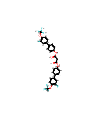 O=C(CC(=O)Oc1ccc(-c2ccc(OC(F)(F)F)c(F)c2)cc1)Oc1ccc(-c2ccc(OC(F)(F)F)c(F)c2)cc1